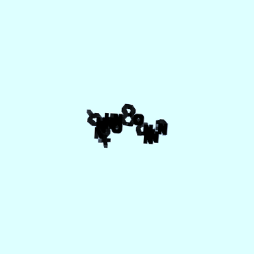 Cc1ccc(-n2nc(C(C)(C)C)cc2NC(=O)N[C@H]2CC[C@H](Oc3ccc4nnc([C@@H]5CCCN5C)n4c3)c3ccccc32)cc1